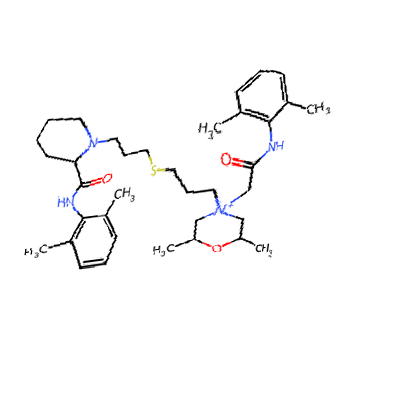 Cc1cccc(C)c1NC(=O)C[N+]1(CCCSCCCN2CCCCC2C(=O)Nc2c(C)cccc2C)CC(C)OC(C)C1